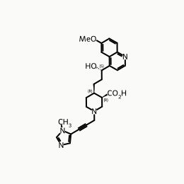 COc1ccc2nccc([C@@H](O)CC[C@@H]3CCN(CC#Cc4cncn4C)C[C@@H]3C(=O)O)c2c1